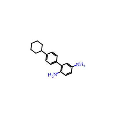 Nc1ccc(N)c(-c2ccc(C3CCCCC3)cc2)c1